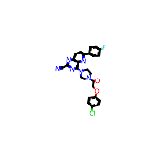 N#Cc1nc(N2CCN(C(=O)COc3ccc(Cl)cc3)CC2)c2nc(-c3ccc(F)cc3)ccc2n1